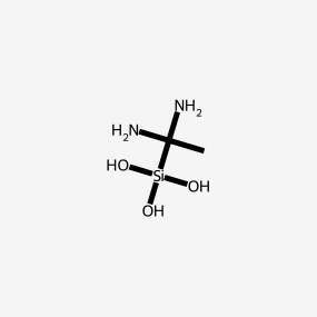 CC(N)(N)[Si](O)(O)O